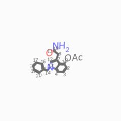 CC(=O)Oc1cccc2c1c(CC(N)=O)cn2Cc1ccccc1